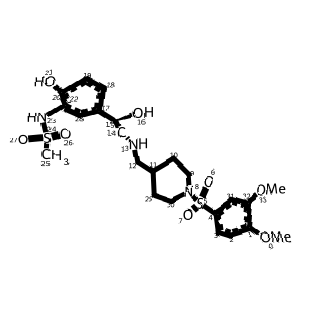 COc1ccc(S(=O)(=O)N2CCC(CNC[C@H](O)c3ccc(O)c(NS(C)(=O)=O)c3)CC2)cc1OC